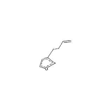 C=CC[CH]c1ccoc1